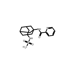 CS(=O)(=O)NC12CC3CC(CC(NC(=O)c4ccccn4)(C3)C1)C2